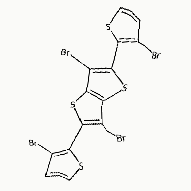 Brc1ccsc1-c1sc2c(Br)c(-c3sccc3Br)sc2c1Br